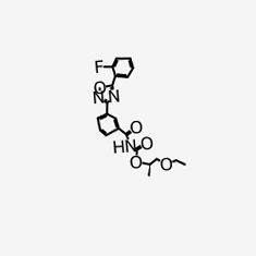 CCOC[C@@H](C)OC(=O)NC(=O)c1cccc(-c2noc(-c3ccccc3F)n2)c1